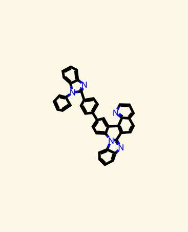 c1ccc(-n2c(-c3ccc(-c4ccc5c(c4)c4c(ccc6cccnc64)c4nc6ccccc6n54)cc3)nc3ccccc32)cc1